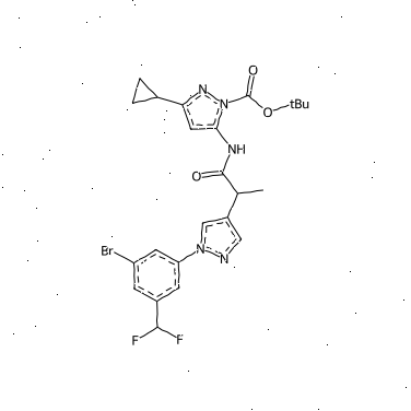 CC(C(=O)Nc1cc(C2CC2)nn1C(=O)OC(C)(C)C)c1cnn(-c2cc(Br)cc(C(F)F)c2)c1